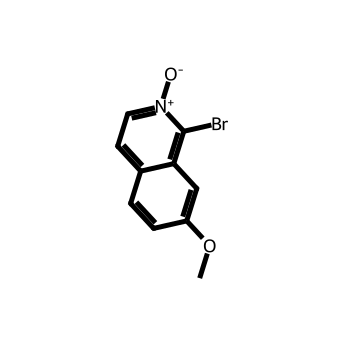 COc1ccc2cc[n+]([O-])c(Br)c2c1